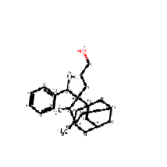 CCC(C)C(CCCO)(C(C)c1ccccc1)C12CC3CC(CC(C3)C1)C2